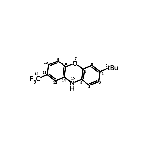 CC(C)(C)c1ccc2c(c1)Oc1ccc(C(F)(F)F)cc1N2